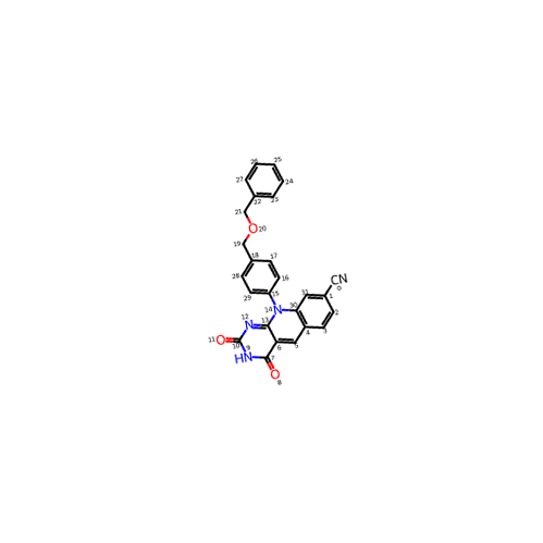 N#Cc1ccc2cc3c(=O)[nH]c(=O)nc-3n(-c3ccc(COCc4ccccc4)cc3)c2c1